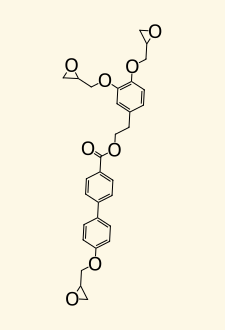 O=C(OCCc1ccc(OCC2CO2)c(OCC2CO2)c1)c1ccc(-c2ccc(OCC3CO3)cc2)cc1